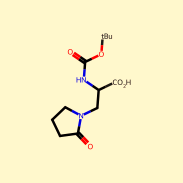 CC(C)(C)OC(=O)NC(CN1CCCC1=O)C(=O)O